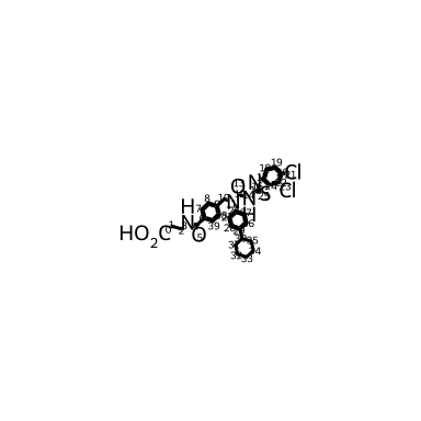 O=C(O)CCNC(=O)c1ccc(CN(C(=O)Nc2nc3ccc(Cl)c(Cl)c3s2)c2ccc(C3CCCCC3)cc2)cc1